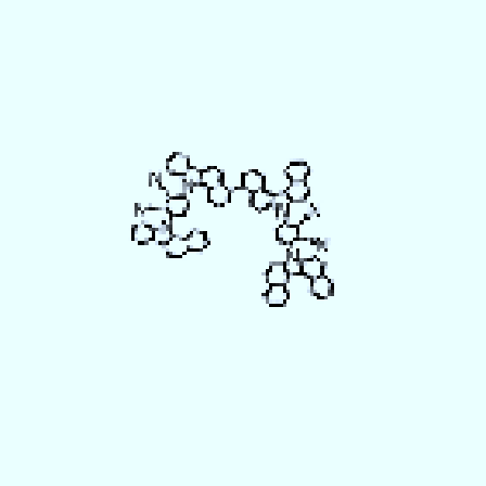 N#Cc1c(-n2c3ccc4ccccc4c3c3c4ccccc4ccc32)ccc(-n2c3ccc4ccccc4c3c3c4cccc(-c5cccc6c5ccc5c7ccccc7n(-c7ccc(-n8c9ccccc9c9ccc%10ccccc%10c98)c(C#N)c7C#N)c65)c4ccc32)c1C#N